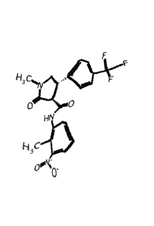 Cc1c(NC(=O)[C@H]2C(=O)N(C)C[C@@H]2c2ccc(C(F)(F)F)cc2)cccc1[N+](=O)[O-]